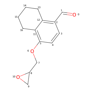 O=Cc1ccc(OCC2CO2)c2c1CCCC2